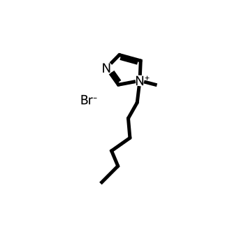 CCCCCC[N+]1(C)C=CN=C1.[Br-]